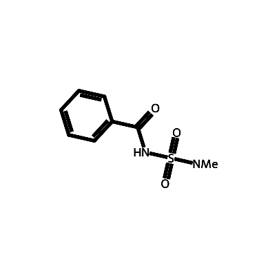 CNS(=O)(=O)NC(=O)c1ccccc1